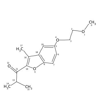 COCCOc1ccc2oc(C(=O)C(C)C)c(C)c2c1